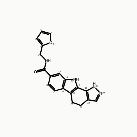 O=C(NCc1ccco1)c1ccc2c3c([nH]c2c1)-c1[nH]ncc1CC3